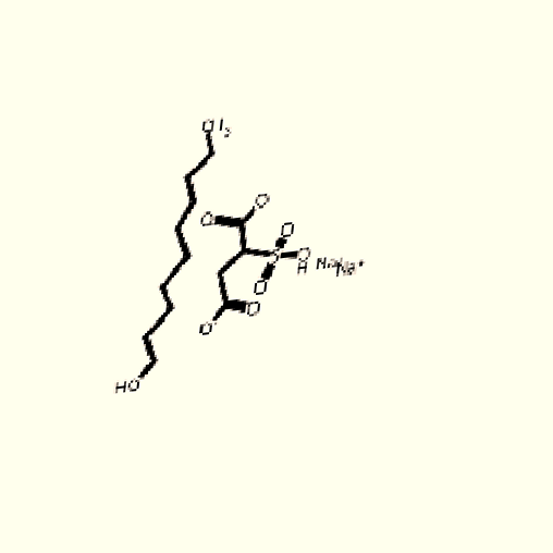 CCCCCCCCCCO.O=C([O-])CC(C(=O)[O-])S(=O)(=O)O.[Na+].[Na+]